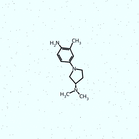 Cc1cc(N2CC[C@@H](N(C)C)C2)ccc1N